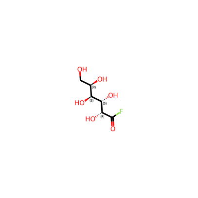 O=C(F)[C@H](O)[C@@H](O)[C@@H](O)[C@H](O)CO